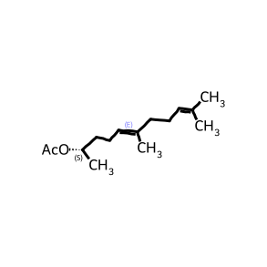 CC(=O)O[C@@H](C)CC/C=C(\C)CCC=C(C)C